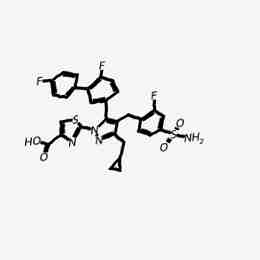 NS(=O)(=O)c1ccc(Cc2c(CC3CC3)nn(-c3nc(C(=O)O)cs3)c2-c2ccc(F)c(-c3ccc(F)cc3)c2)c(F)c1